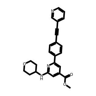 COC(=O)c1cc(NC2CCOCC2)nc(-c2ccc(C#Cc3cccnc3)cc2)c1